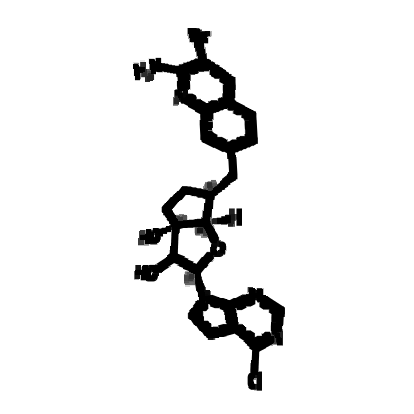 Nc1nc2cc(C[C@@H]3CC[C@]4(O)C(O)[C@H](n5ccc6c(Cl)ncnc65)O[C@H]34)ccc2cc1Br